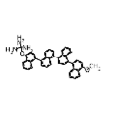 COc1ccc(-c2ccc(-c3cccc4c(-c5ccc(OC(N)(N)N)c6ccccc56)cccc34)c3ccccc23)c2ccccc12